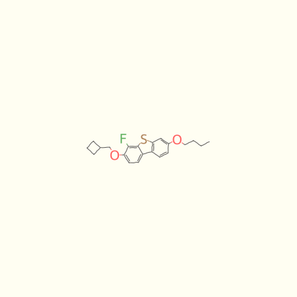 CCCCOc1ccc2c(c1)sc1c(F)c(OCC3CCC3)ccc12